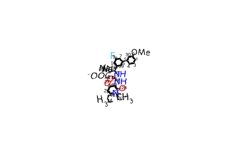 COc1cccc(-c2cc(F)cc([C@H](CC(=O)[O-])NC(=O)Nc3c([O-])cc(C)n(C)c3=O)c2)c1.[Na+].[Na+]